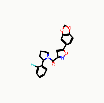 O=C(c1cc(-c2ccc3c(c2)OCO3)on1)N1CCCC1c1ccccc1F